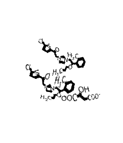 C=CCOC(C[n+]1ccn(CC(=O)c2ccc(Cl)s2)c1)c1ccccc1C.C=CCOC(C[n+]1ccn(CC(=O)c2ccc(Cl)s2)c1)c1ccccc1C.O=C([O-])CC(O)C(=O)[O-]